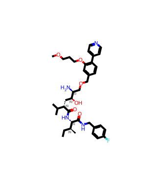 CC[C@H](C)[C@H](NC(=O)[C@@H](C[C@H](O)[C@@H](N)COCc1ccc(-c2ccncc2)c(OCCCOC)c1)C(C)C)C(=O)NCc1ccc(F)cc1